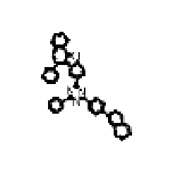 c1ccc(-c2nc(-c3ccc(-c4ccc5ccccc5c4)cc3)nc(-c3ccc4oc5c6ccccc6cc(-c6ccccc6)c5c4c3)n2)cc1